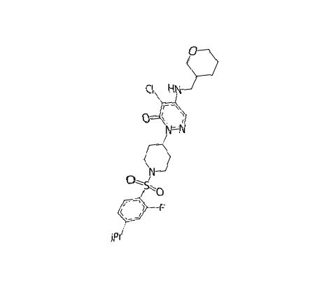 CC(C)c1ccc(S(=O)(=O)N2CCC(n3ncc(NCC4CCCOC4)c(Cl)c3=O)CC2)c(F)c1